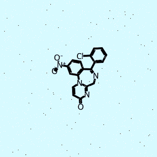 O=c1ccn2c(n1)CN=C(c1ccccc1Cl)c1ccc([N+](=O)[O-])cc1-2